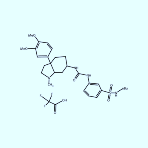 CCCCNS(=O)(=O)c1cccc(NC(=O)NC2CCC3(c4ccc(OC)c(OC)c4)CCN(C)C3C2)c1.O=C(O)C(F)(F)F